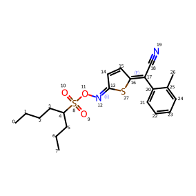 CCCCC(CCC)S(=O)(=O)O/N=C1C=C/C(=C(\C#N)c2ccccc2C)S\1